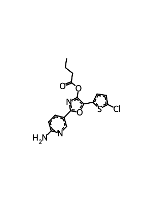 CCCC(=O)Oc1nc(-c2ccc(N)nc2)oc1-c1ccc(Cl)s1